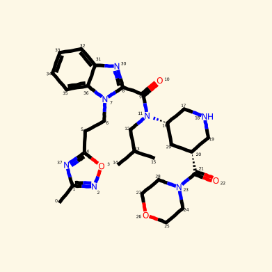 Cc1noc(CCn2c(C(=O)N(CC(C)C)[C@@H]3CNC[C@H](C(=O)N4CCOCC4)C3)nc3ccccc32)n1